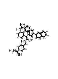 N=C(N)c1ccc(CC(C(=O)N[C@H](C(=O)NCC2CCN(C(=N)N)CC2)C2CCCCC2)c2ccc3ccccc3c2)cc1